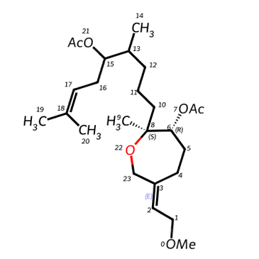 COC/C=C1\CC[C@@H](OC(C)=O)[C@](C)(CCCC(C)C(CC=C(C)C)OC(C)=O)OC1